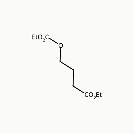 CCOC(=O)CCCOC(=O)OCC